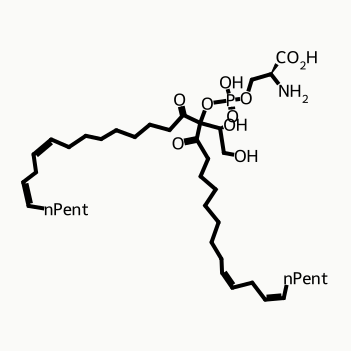 CCCCC/C=C\C/C=C\CCCCCCCC(=O)C(OP(=O)(O)OC[C@H](N)C(=O)O)(C(=O)CCCCCCC/C=C\C/C=C\CCCCC)[C@@H](O)CO